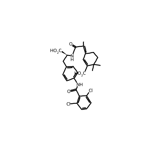 CC(C(=O)N[C@@H](Cc1ccc(NC(=O)c2c(Cl)cccc2Cl)cc1)C(=O)O)=C1C=C(C(=O)O)C(C)(C)CC1